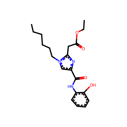 CCCCCCn1cc(C(=O)Nc2ccccc2O)nc1CC(=O)OCC